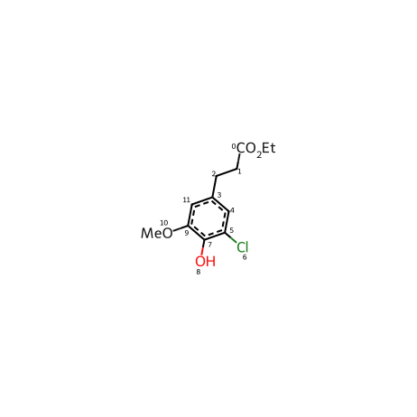 CCOC(=O)CCc1cc(Cl)c(O)c(OC)c1